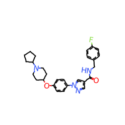 O=C(NCc1ccc(F)cc1)c1cnn(-c2ccc(OC3CCN(C4CCCC4)CC3)cc2)c1